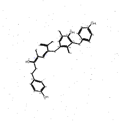 C=C(C)/C(=C\C(C)=C(\O)CCc1ccc(O)cc1)Cc1cc(C)c(O)c(Cc2ccc(O)cc2)c1C